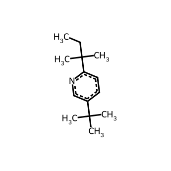 CCC(C)(C)c1ccc(C(C)(C)C)cn1